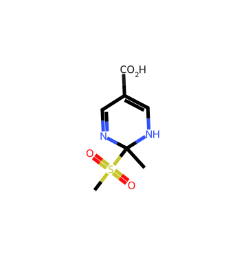 CC1(S(C)(=O)=O)N=CC(C(=O)O)=CN1